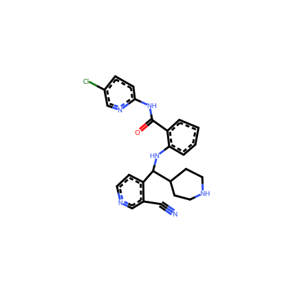 N#Cc1cnccc1C(Nc1ccccc1C(=O)Nc1ccc(Cl)cn1)C1CCNCC1